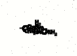 C[C@@H]1CC[C@@]2(OC1)OC1C[C@@]3(N)[C@@H]4CC=C5C[C@@H](N)CC[C@]5(C)[C@@]4(N)CC[C@]3(C)C1[C@@H]2C